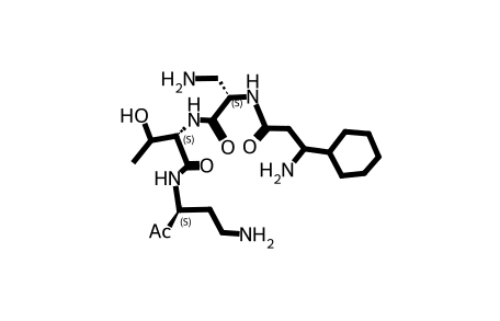 CC(=O)[C@H](CCN)NC(=O)[C@@H](NC(=O)[C@H](CN)NC(=O)CC(N)C1CCCCC1)C(C)O